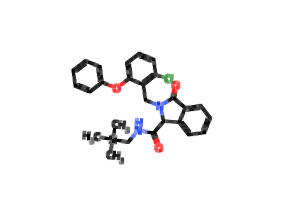 C[Si](C)(C)CNC(=O)C1c2ccccc2C(=O)N1Cc1c(Cl)cccc1Oc1ccccc1